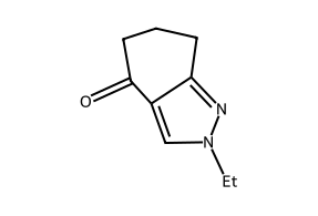 CCn1cc2c(n1)CCCC2=O